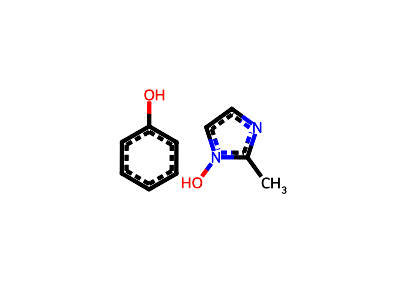 Cc1nccn1O.Oc1ccccc1